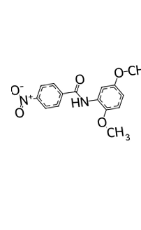 COc1ccc(OC)c(NC(=O)c2ccc([N+](=O)[O-])cc2)c1